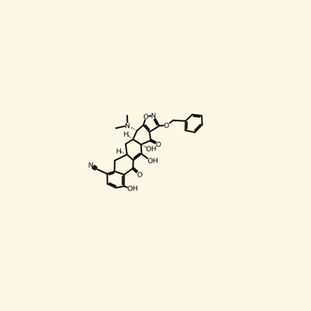 CN(C)[C@@H]1c2onc(OCc3ccccc3)c2C(=O)[C@@]2(O)C(O)=C3C(=O)c4c(O)ccc(C#N)c4C[C@H]3C[C@@H]12